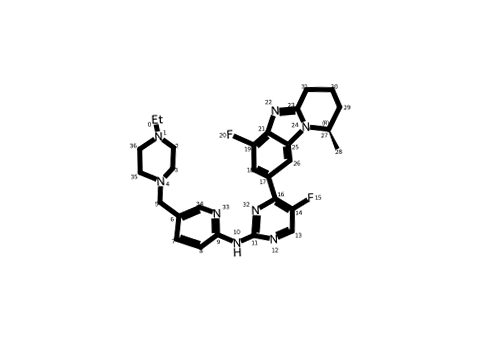 CCN1CCN(Cc2ccc(Nc3ncc(F)c(-c4cc(F)c5nc6n(c5c4)[C@H](C)CCC6)n3)nc2)CC1